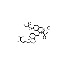 CCC(=O)O[C@H]1CCC2=C(C1)[C@H](/C=C1\CCCC3(C)C1CCC3[C@H](C)/C=C/[C@H](C)C(C)C)N1C(=O)CC(=O)N1C2